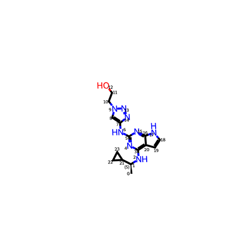 C[C@H](Nc1nc(Nc2cn(CCO)nn2)nc2[nH]ccc12)C1CC1